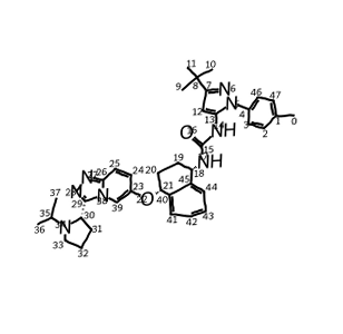 Cc1ccc(-n2nc(C(C)(C)C)cc2NC(=O)N[C@H]2CC[C@@H](Oc3ccc4nnc([C@@H]5CCCN5C(C)C)n4c3)c3ccccc32)cc1